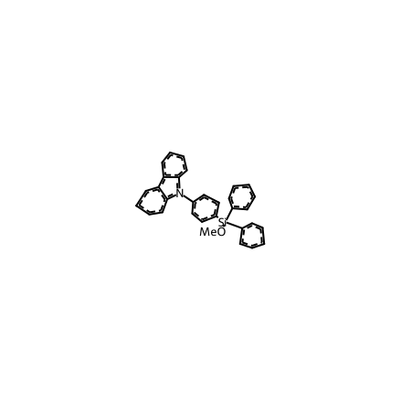 CO[Si](c1ccccc1)(c1ccccc1)c1ccc(-n2c3ccccc3c3ccccc32)cc1